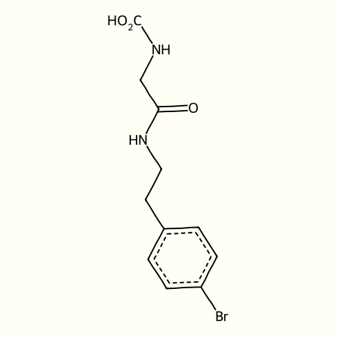 O=C(O)NCC(=O)NCCc1ccc(Br)cc1